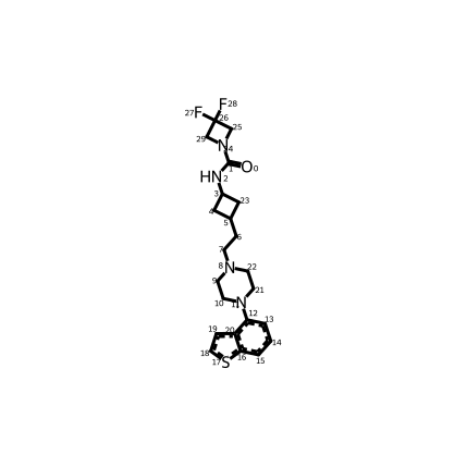 O=C(NC1CC(CCN2CCN(c3cccc4sccc34)CC2)C1)N1CC(F)(F)C1